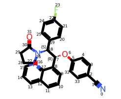 N#Cc1ccc(O[C@H](c2cccc3cccnc23)[C@H](c2ccc(F)cc2)N2CCCC2=O)cc1